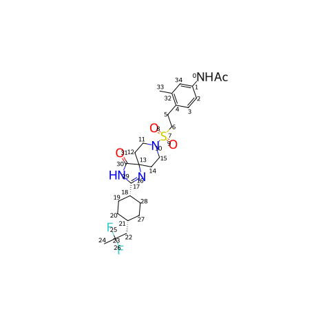 CC(=O)Nc1ccc(CCS(=O)(=O)N2CCC3(CC2)N=C([C@H]2CC[C@@H](CC(C)(F)F)CC2)NC3=O)c(C)c1